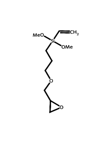 C=C[Si](CCCOCC1CO1)(OC)OC